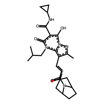 Cc1nn2c(O)c(C(=O)NC3CC3)c(=O)n(CC(C)C)c2c1C=CC(=O)N1C2CCC1CC(F)(F)C2